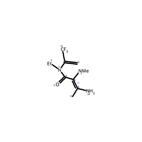 C=C(N(CC)C(=O)/C(NC)=C(\C)N)C(F)(F)F